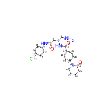 NCC(CC(=O)Nc1ccc(Cl)cc1)NC(=O)c1ccc(N2CCCCC2=O)cc1